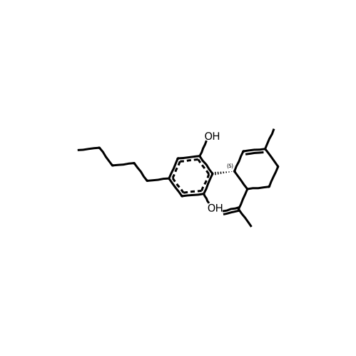 C=C(C)C1CCC(C)=C[C@H]1c1c(O)cc(CCCCC)cc1O